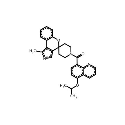 CC(C)Oc1ccc(C(=O)N2CCC3(CC2)Oc2ccccc2-c2c3cnn2C)c2ncccc12